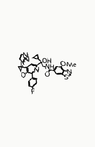 COc1cc(C(=O)NCC(O)(c2cc3c(c(-c4ccc(F)cc4)n2)OC2C[C@@]32n2ccnn2)C2CC2)cc2scnc12